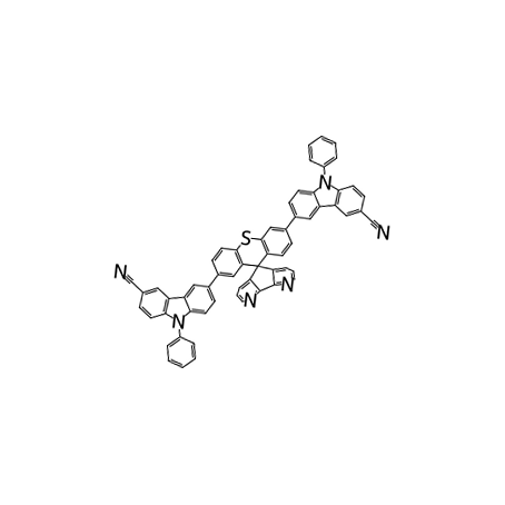 N#Cc1ccc2c(c1)c1cc(-c3ccc4c(c3)Sc3ccc(-c5ccc6c(c5)c5cc(C#N)ccc5n6-c5ccccc5)cc3C43c4cccnc4-c4ncccc43)ccc1n2-c1ccccc1